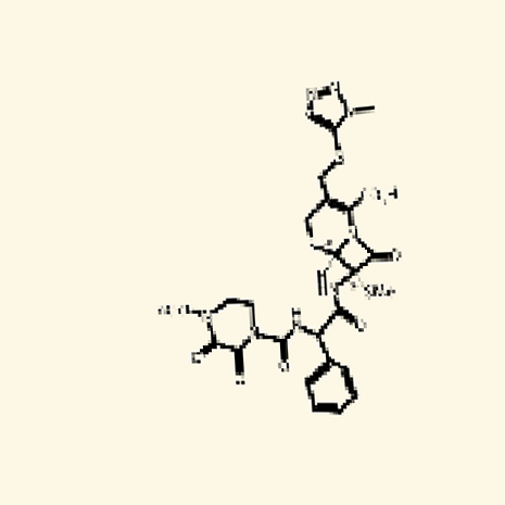 CCCCCCCCN1CCN(C(=O)NC(C(=O)N[C@]2(SC)C(=O)N3C(C(=O)O)=C(CSc4nnnn4C)CS[C@@H]32)c2ccccc2)C(=O)C1=O